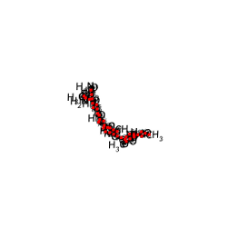 COc1ccc(C2=CN3C(=O)c4cc(OC)c(OCCCOc5cc6c(cc5OC)C(=O)N5C=C(c7ccc(NC(=O)OCc8ccc(NC(=O)[C@H](CCCNC(N)=O)NC(=O)[C@@H](N)C(C)C)cc8)cc7)C[C@H]5C=N6)cc4N=C[C@@H]3C2)cc1